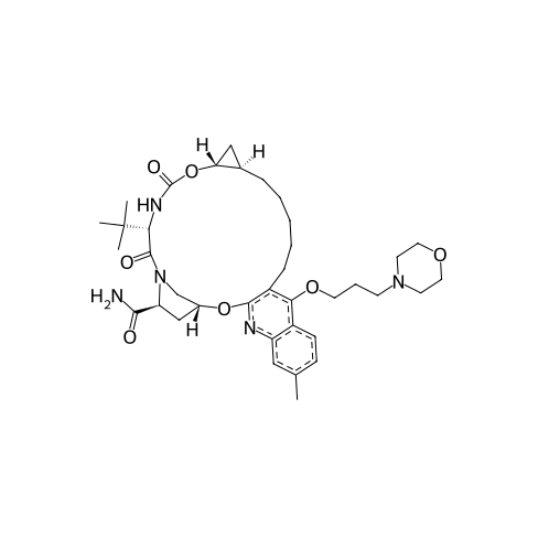 Cc1ccc2c(OCCCN3CCOCC3)c3c(nc2c1)O[C@@H]1C[C@@H](C(N)=O)N(C1)C(=O)[C@H](C(C)(C)C)NC(=O)O[C@@H]1C[C@H]1CCCCC3